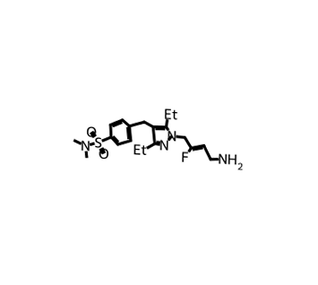 CCc1nn(CC(F)=CCN)c(CC)c1Cc1ccc(S(=O)(=O)N(C)C)cc1